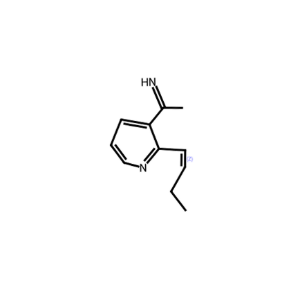 CC/C=C\c1ncccc1C(C)=N